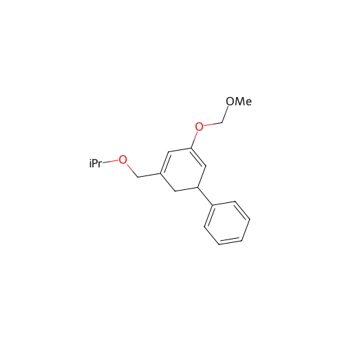 COCOC1=CC(c2ccccc2)CC(COC(C)C)=C1